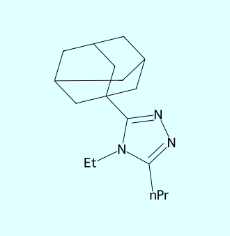 CCCc1nnc(C23CC4CC(CC(C4)C2)C3)n1CC